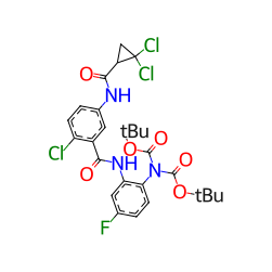 CC(C)(C)OC(=O)N(C(=O)OC(C)(C)C)c1ccc(F)cc1NC(=O)c1cc(NC(=O)C2CC2(Cl)Cl)ccc1Cl